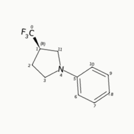 FC(F)(F)[C@@H]1CCN(c2cc[c]cc2)C1